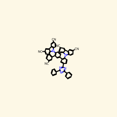 N#Cc1cccc(-c2cc(-c3cc(-c4nc(-c5ccccc5)nc(-c5ccccc5)n4)ccc3-n3c4ccc(C#N)cc4c4cc(C#N)ccc43)ccc2-n2c3ccc(C#N)cc3c3cc(C#N)ccc32)c1